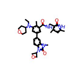 CCN(c1cc(-c2ccc3c(c2)n(C)c(=O)n3C2COC2)cc(C(=O)NCc2c(C)cc(C)[nH]c2=O)c1C)C1CCOCC1